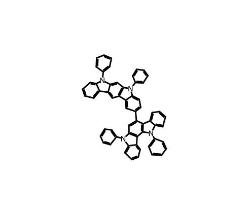 c1ccc(-n2c3ccccc3c3cc4c5cc(-c6cc7c(c8ccccc8n7-c7ccccc7)c7c6c6ccccc6n7-c6ccccc6)ccc5n(-c5ccccc5)c4cc32)cc1